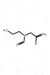 C=C(Cl)CN([C]=O)CCC